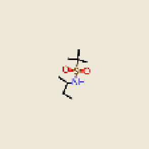 CCC(C)NS(=O)(=O)C(C)(C)C